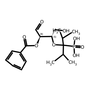 CC(C)C(O[C@@H](CO)[C@H](C=O)OC(=O)c1ccccc1)(C(C)C)P(=O)(O)O